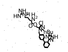 CCCCc1nc(Cl)c(COC(=O)[C@H](N)CCCNC(=N)N)n1Cc1ccc(-c2ccccc2-c2nn[nH]n2)cc1